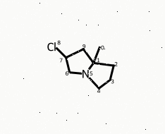 CC12CCCN1CC(Cl)C2